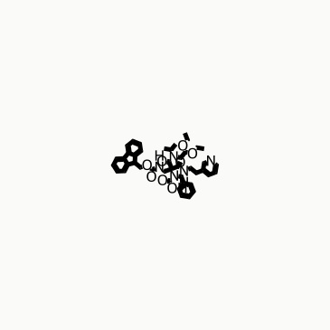 CCOC(CN(C(=O)C(CNC(=O)OCC1c2ccccc2-c2ccccc21)(C(=O)NCCc1cccnc1)N(Cc1ccccc1)C(=O)O)C(C)C)OCC